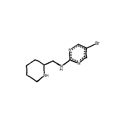 Brc1cnc(NCC2CCCCN2)nc1